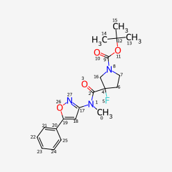 CN(C(=O)C1(F)CCN(C(=O)OC(C)(C)C)C1)c1cc(-c2ccccc2)on1